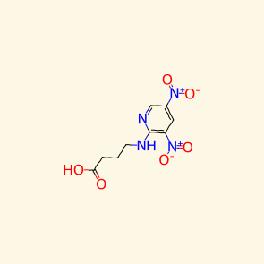 O=C(O)CCCNc1ncc([N+](=O)[O-])cc1[N+](=O)[O-]